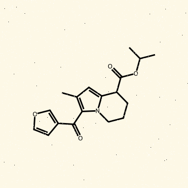 Cc1cc2n(c1C(=O)c1ccoc1)CCCC2C(=O)OC(C)C